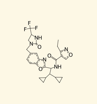 CCc1nocc1C(=O)NC(c1nc2cc(CN3CC(C(F)(F)F)NC3=O)ccc2o1)C(C1CC1)C1CC1